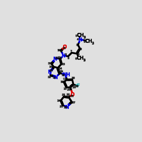 C/C(=C/CN(C)C)CCN(C=O)c1cc2c(Nc3ccc(Oc4cccnc4)c(F)c3)ncnc2cn1